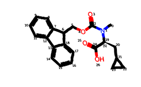 CN(C(=O)OCC1c2ccccc2-c2ccccc21)[C@@H](CC1CC1)C(=O)O